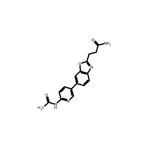 CC(=O)Nc1ccc(-c2ccc3nc(CCC(N)=O)oc3c2)cn1